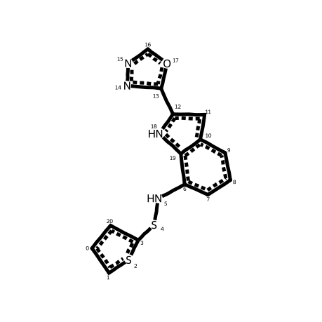 c1csc(SNc2cccc3cc(-c4nnco4)[nH]c23)c1